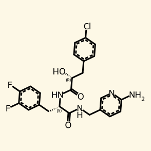 Nc1ccc(CNC(=O)[C@H](Cc2ccc(F)c(F)c2)NC(=O)[C@H](O)Cc2ccc(Cl)cc2)cn1